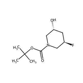 CC(C)(C)OC(=O)N1C[C@H](O)C[C@@H](F)C1